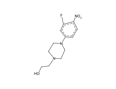 O=[N+]([O-])c1ccc(N2CCN(CCO)CC2)cc1F